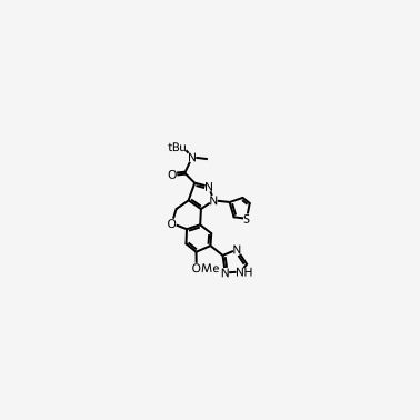 COc1cc2c(cc1-c1nc[nH]n1)-c1c(c(C(=O)N(C)C(C)(C)C)nn1-c1ccsc1)CO2